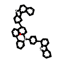 c1ccc(-c2ccccc2N(c2ccc(-c3ccc4sc5ccc6ccccc6c5c4c3)cc2)c2ccc(-c3cccc4c3sc3ccccc34)cc2)cc1